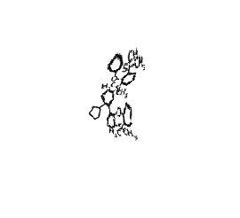 C[Si](C)(c1ccc(C2CCCC2)c(-c2cccc3c2Oc2ccccc2[Si]3(C)C)c1)c1cccc2c1Oc1ccccc1[Si]2(C)C